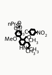 CCCS(=O)(=O)Oc1ccc(-c2ccc3c(c2COc2cc([N+](=O)[O-])ccc2C)C(C)=CC(C)(C)N3)c(OC)c1